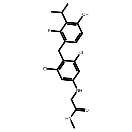 CNC(=O)CNc1cc(Cl)c(Cc2ccc(O)c(C(C)C)c2F)c(Cl)c1